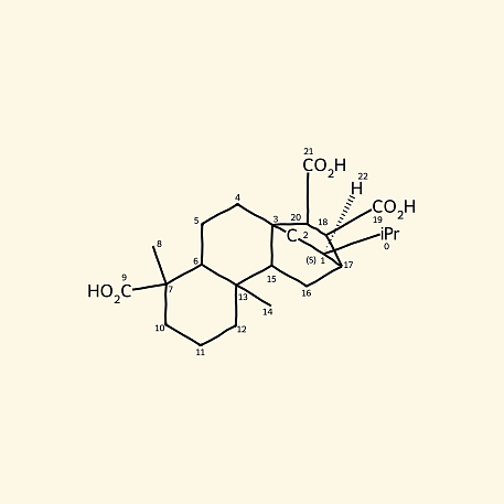 CC(C)[C@@H]1CC23CCC4C(C)(C(=O)O)CCCC4(C)C2CC1C(C(=O)O)C3C(=O)O